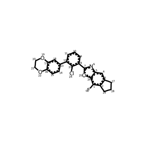 Fc1c2c(cc3nc(-c4cccc(-c5ccc6c(c5)OCCO6)c4Cl)oc13)CCC2